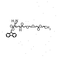 C=CCOC(=O)CCOCCOCCC(=O)NCCN(CCN)C(=O)OCC1c2ccccc2-c2ccccc21